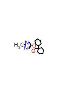 Cc1ncc(OC(=O)C2(C3CCCCC3)CCCCC2)cn1